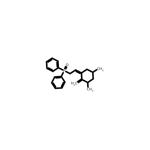 C=C1/C(=C\CP(=O)(c2ccccc2)c2ccccc2)CC(C)CC1C